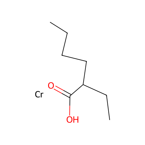 CCCCC(CC)C(=O)O.[Cr]